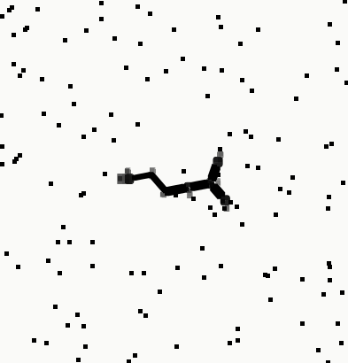 O=S(=O)=C=C[CH]O